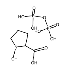 O=C(O)C1CCCN1O.O=P(O)(O)OP(=O)(O)O